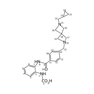 O=C(O)Nc1ccccc1NC(=O)c1ccc(CN2CC3(C2)CN(CC2CC2)C3)cc1